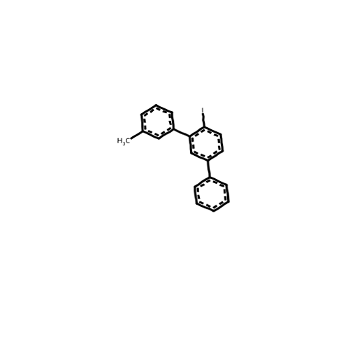 Cc1cccc(-c2cc(-c3ccccc3)ccc2I)c1